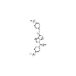 CC1CCC(COC2COC3C(C(O)C4CCC(C)CC4)COC23)CC1